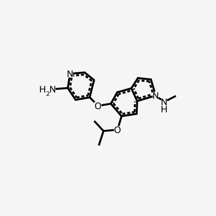 CNn1ccc2cc(Oc3ccnc(N)c3)c(OC(C)C)cc21